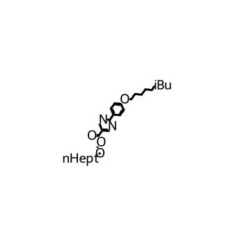 CCCCCCCOCOC(=O)c1cnc(-c2ccc(OCCCCCC(C)CC)cc2)nc1